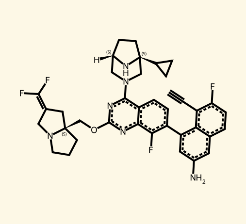 C#Cc1c(F)ccc2cc(N)cc(-c3ccc4c(N5C[C@@H]6CC[C@](C7CC7)(C5)N6)nc(OC[C@@]56CCCN5CC(=C(F)F)C6)nc4c3F)c12